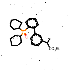 CCOC(=O)C(C)c1cccc(-c2ccccc2P(=O)(C2CCCCC2)C2CCCCC2)c1